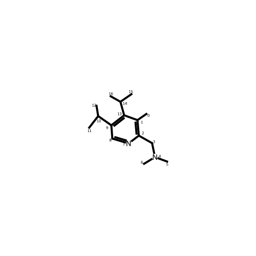 Cc1c(CN(C)C)ncc(C(C)C)c1C(C)C